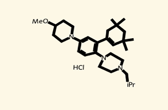 COC1CCN(c2ccc(N3CCN(CC(C)C)CC3)c(C3=CC(C)(C)CC(C)(C)C3)c2)CC1.Cl